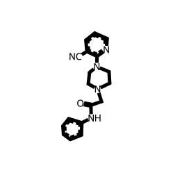 N#Cc1cccnc1N1CCN(CC(=O)Nc2ccccc2)CC1